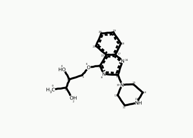 CC(O)C(O)COc1nc(N2CCNCC2)nc2ccccc12